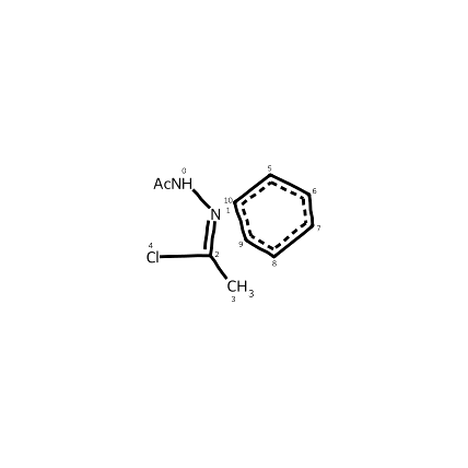 CC(=O)NN=C(C)Cl.c1ccccc1